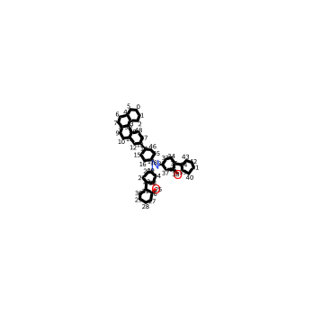 c1ccc2c(c1)ccc1ccc3cc(-c4ccc(N(c5ccc6c(c5)oc5ccccc56)c5ccc6c(c5)oc5ccccc56)cc4)ccc3c12